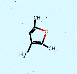 Cc1cc(C)c(C)o1